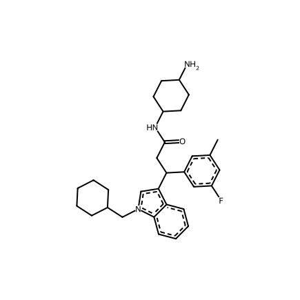 Cc1cc(F)cc(C(CC(=O)NC2CCC(N)CC2)c2cn(CC3CCCCC3)c3ccccc23)c1